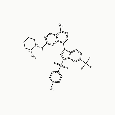 Cc1ccc(S(=O)(=O)n2cc(-c3cnc(C)c4cnc(N[C@H]5CCCC[C@H]5N)nc34)c3ccc(C(F)(F)F)cc32)cc1